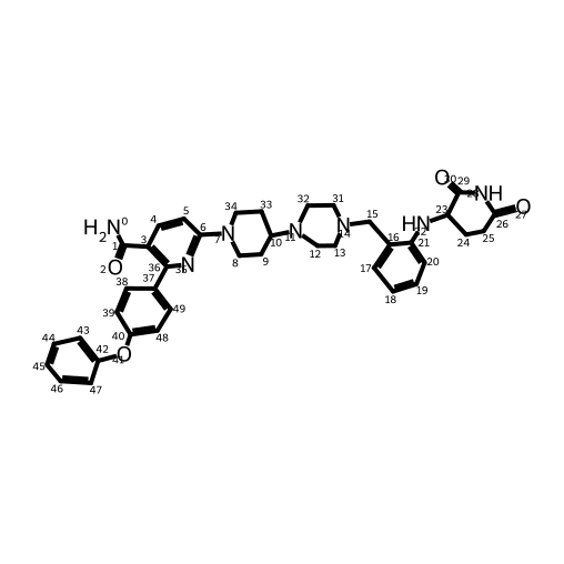 NC(=O)c1ccc(N2CCC(N3CCN(Cc4ccccc4NC4CCC(=O)NC4=O)CC3)CC2)nc1-c1ccc(Oc2ccccc2)cc1